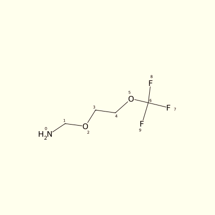 NCOCCOC(F)(F)F